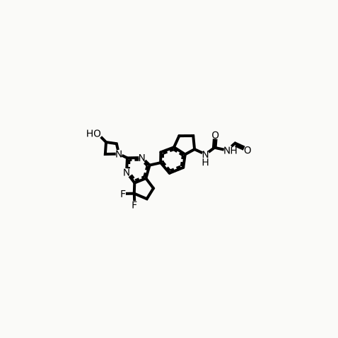 O=CNC(=O)NC1CCc2cc(-c3nc(N4CC(O)C4)nc4c3CCC4(F)F)ccc21